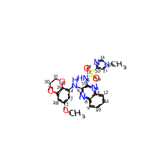 COc1cc(Nc2nc3ccccc3nc2NS(=O)(=O)c2cn(C)cn2)c2c(c1)OCCO2